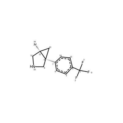 FC(F)(F)c1ccc([C@]23CNC[C@H]2C3)cc1